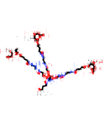 CNC(=O)CCCC(=O)NC(COCCC(=O)NCCCNC(=O)CCCCO[C@H](OC(CO)[C@H](O)CO)[C@H](C)NC(C)=O)(COCCC(=O)NCCCNC(=O)CCCCO[C@@H]1OC(CO)[C@H](O)C(O)[C@@H]1NC(C)=O)COCCC(=O)NCCCNC(=O)CCCCO[C@@H]1OC(CO)[C@H](O)C(O)[C@@H]1NC(C)=O